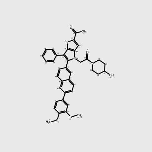 COc1ccc(-c2ccc3cc(-c4c(-c5ccccc5)c5sc(C(=O)O)cc5n4CC(=O)N4CCC(O)CC4)ccc3n2)cc1OC